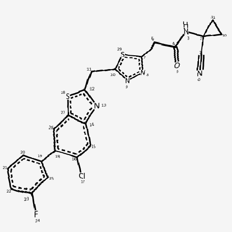 N#CC1(NC(=O)Cc2nnc(Cc3nc4cc(Cl)c(-c5cccc(F)c5)cc4s3)s2)CC1